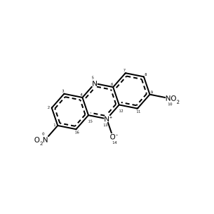 O=[N+]([O-])c1ccc2nc3ccc([N+](=O)[O-])cc3[n+]([O-])c2c1